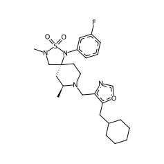 C[C@H]1C[C@]2(CCN1Cc1ncoc1CC1CCCCC1)CN(C)S(=O)(=O)N2c1cccc(F)c1